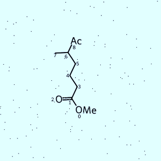 COC(=O)CCCC(C)C(C)=O